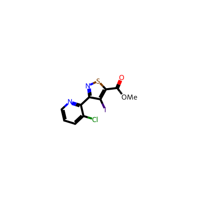 COC(=O)c1snc(-c2ncccc2Cl)c1I